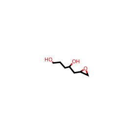 OCCCC(O)CC1CO1